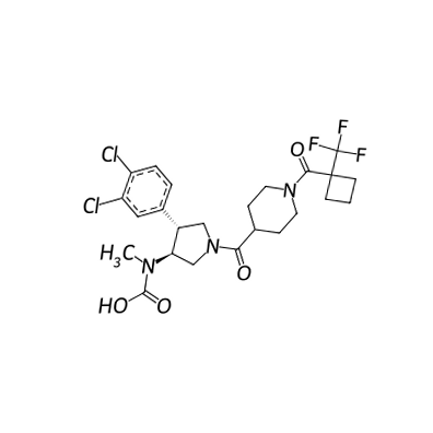 CN(C(=O)O)[C@@H]1CN(C(=O)C2CCN(C(=O)C3(C(F)(F)F)CCC3)CC2)C[C@H]1c1ccc(Cl)c(Cl)c1